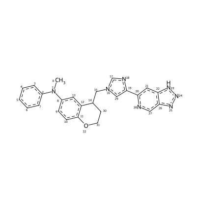 CN(c1ccccc1)c1ccc2c(c1)C(Cn1cnc(-c3cc4[nH]nnc4cn3)c1)CCO2